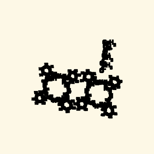 [O-][SiH3].[O-][SiH3].[OH][Al+2].[OH][GaH2].c1ccc2c(c1)-c1nc-2nc2[nH]c(nc3nc(nc4[nH]c(n1)c1ccccc41)-c1ccccc1-3)c1ccccc21.c1ccc2c(c1)-c1nc-2nc2[nH]c(nc3nc(nc4[nH]c(n1)c1ccccc41)-c1ccccc1-3)c1ccccc21